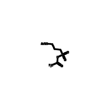 CC(=O)NCCCS(=O)(=O)OC(=O)C(F)(F)F